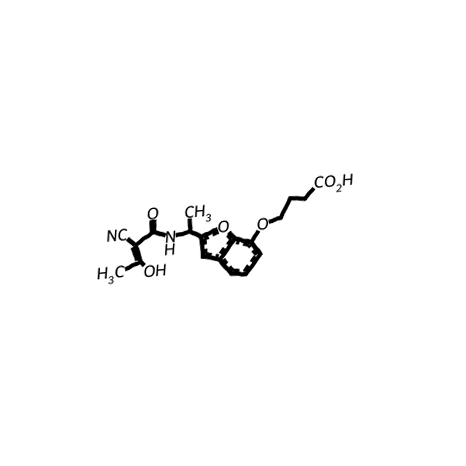 CC(O)=C(C#N)C(=O)NC(C)c1cc2cccc(OCCCC(=O)O)c2o1